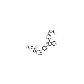 CCN1CCN(c2nc(-c3ccc([C@H]4C[C@H](OC(C)=O)CCO4)cc3)cc3ccccc23)CC1